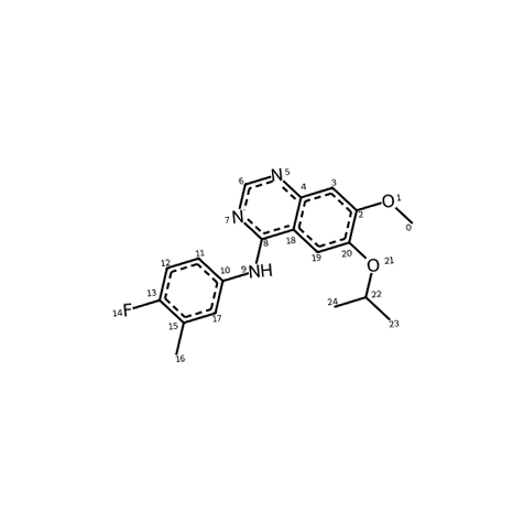 COc1cc2ncnc(Nc3ccc(F)c(C)c3)c2cc1OC(C)C